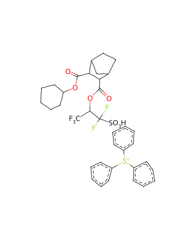 O=C(OC1CCCCC1)C1C2CCC(C2)C1C(=O)OC(C(F)(F)F)C(F)(F)S(=O)(=O)O.c1ccc([S+](c2ccccc2)c2ccccc2)cc1